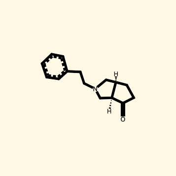 O=C1CC[C@@H]2CN(CCc3ccccc3)C[C@H]12